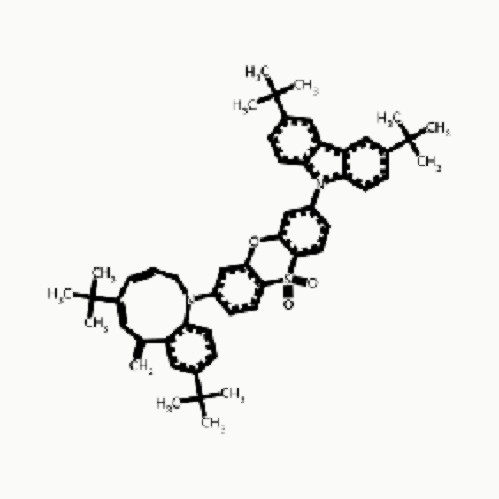 C=C1/C=C(C(C)(C)C)\C=C/CN(c2ccc3c(c2)Oc2cc(-n4c5ccc(C(C)(C)C)cc5c5cc(C(C)(C)C)ccc54)ccc2S3(=O)=O)c2ccc(C(C)(C)C)cc21